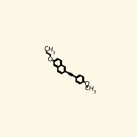 CCCOc1ccc2cc(C#Cc3ccc(OC)cc3)ccc2c1